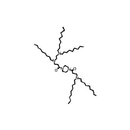 CCCCCCCCCN(CCCCCCCCC)CCC(=O)N1CCN(C(=O)CCN(CCCCCCCCC)CCN(CCCCCCCCC)CCCCCCCCC)CC1